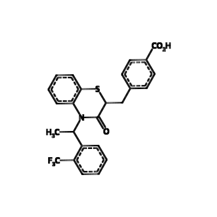 CC(c1ccccc1C(F)(F)F)N1C(=O)C(Cc2ccc(C(=O)O)cc2)Sc2ccccc21